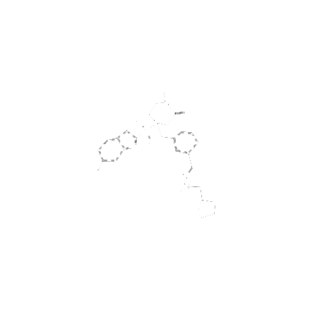 CN(CC1OCCO1)N=Cc1cccc(C[N+]2(S(=O)(=O)c3cc4ccc(Cl)cc4s3)CCNC(=O)C2)c1